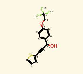 OC(C#Cc1cccs1)c1ccc(OCC(F)(F)F)cc1